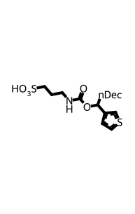 CCCCCCCCCCC(OC(=O)NCCCS(=O)(=O)O)c1ccsc1